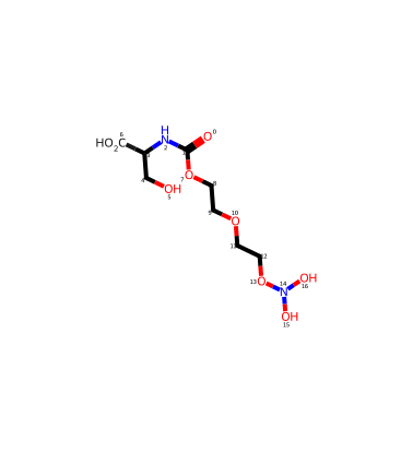 O=C(NC(CO)C(=O)O)OCCOCCON(O)O